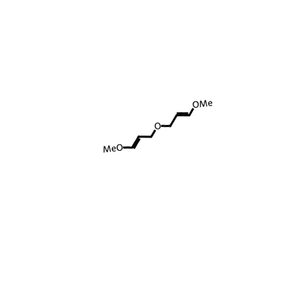 COC=CCOCC=COC